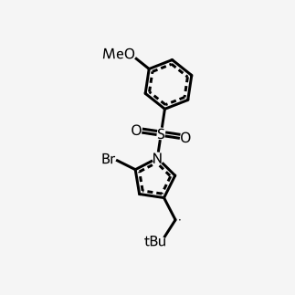 COc1cccc(S(=O)(=O)n2cc([CH]C(C)(C)C)cc2Br)c1